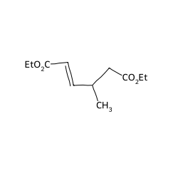 CCOC(=O)C=CC(C)CC(=O)OCC